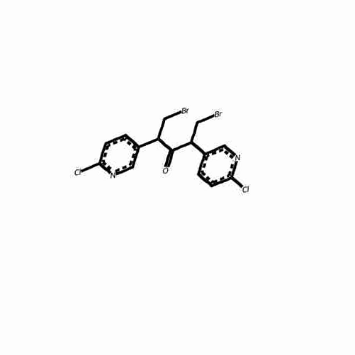 O=C(C(CBr)c1ccc(Cl)nc1)C(CBr)c1ccc(Cl)nc1